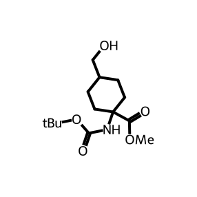 COC(=O)C1(NC(=O)OC(C)(C)C)CCC(CO)CC1